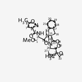 COC[C@H](NC(=O)c1cc(C)on1)C(=O)N[C@@H](Cc1ccccc1)C(=O)N[C@@H](CC(C)C)C(=O)[C@@]1(C)CO1